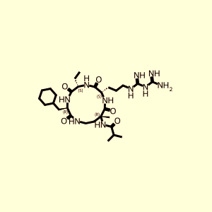 CC[C@@H]1NC(=O)[C@H](CCCNC(=N)NC(=N)N)NC(=O)[C@](C)(NC(=O)C(C)C)CCNC(=O)[C@@H](CC2CCCCC2)NC1=O